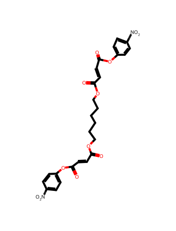 O=C(C=CC(=O)Oc1ccc([N+](=O)[O-])cc1)OCCCCCCOC(=O)C=CC(=O)Oc1ccc([N+](=O)[O-])cc1